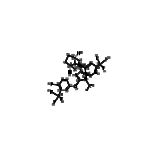 CC(C)n1nc(NC2[C@@H]3CC[C@H]2CN(c2ccnc(C(F)(F)F)c2)C3)nc1Oc1ccc(F)c(C(F)(F)F)c1